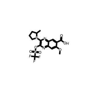 COc1cc2nc(OS(=O)(=O)C(F)(F)F)c(N3CCCC3C)nc2cc1C(=O)O